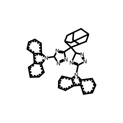 c1ccc2c(c1)c1ccccc1n2C1=NC(C2(C3=NC(n4c5ccccc5c5ccccc54)N=N3)C3CC4CC(C3)CC2C4)N=N1